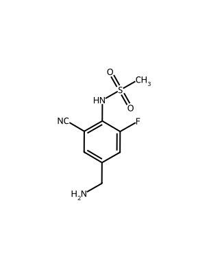 CS(=O)(=O)Nc1c(F)cc(CN)cc1C#N